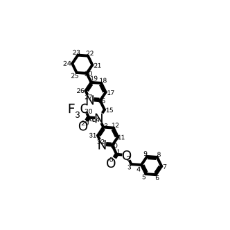 O=C(OCc1ccccc1)c1ccc(N(Cc2ccc(C3CCCCC3)cn2)C(=O)C(F)(F)F)cn1